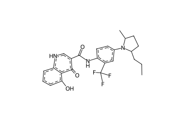 CCCC1CCC(C)N1c1ccc(NC(=O)c2c[nH]c3cccc(O)c3c2=O)c(C(F)(F)F)c1